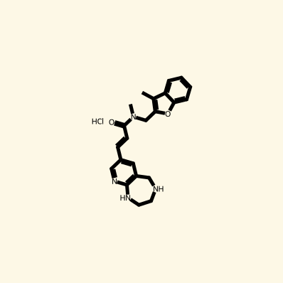 Cc1c(CN(C)C(=O)C=Cc2cnc3c(c2)CNCCN3)oc2ccccc12.Cl